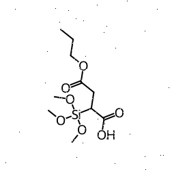 CCCOC(=O)CC(C(=O)O)[Si](OC)(OC)OC